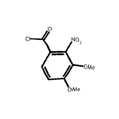 COc1ccc(C(=O)Cl)c([N+](=O)[O-])c1OC